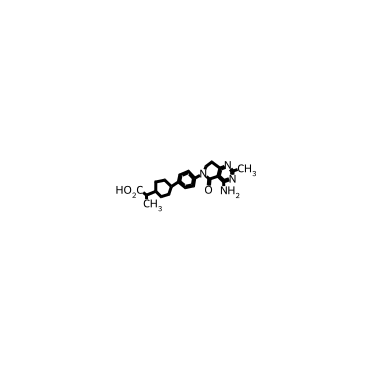 Cc1nc(N)c2c(n1)CCN(c1ccc(C3CCC(C(C)C(=O)O)CC3)cc1)C2=O